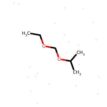 CCOCO[C](C)C